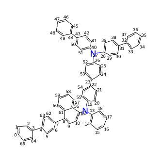 c1ccc(-c2ccc(-c3ccc(N(c4ccccc4)c4ccc(-c5ccc(N(c6ccc(-c7ccccc7)cc6)c6ccc(-c7ccccc7)cc6)cc5)cc4)c4ccccc34)cc2)cc1